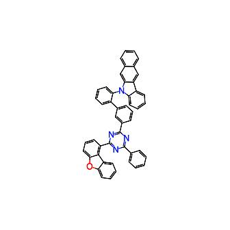 c1ccc(-c2nc(-c3cccc(-c4ccccc4-n4c5ccccc5c5cc6ccccc6cc54)c3)nc(-c3cccc4oc5ccccc5c34)n2)cc1